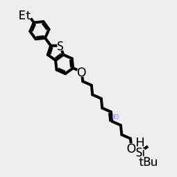 CCc1ccc(-c2cc3ccc(OCCCCC/C=C/CCCO[SiH](C)C(C)(C)C)cc3s2)cc1